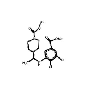 COC(=O)c1cc(Cl)c(Cl)c(NC(C)C2CCN(C(=O)OC(C)(C)C)CC2)c1